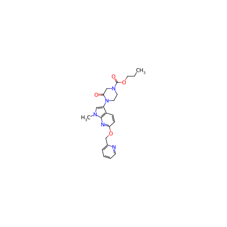 CCCOC(=O)N1CCN(c2cn(C)c3nc(OCc4ccccn4)ccc23)C(=O)C1